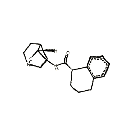 O=C(N[C@@H]1CN2CCC1CC2)[C@@H]1CCCc2ccccc21